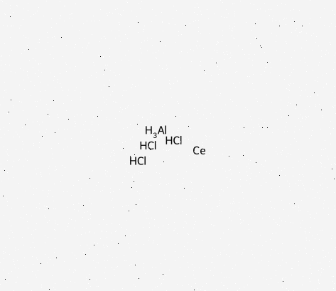 Cl.Cl.Cl.[AlH3].[Ce]